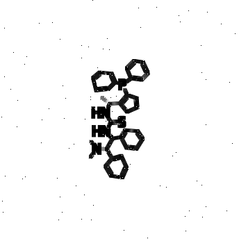 C[C@@H](NC(=S)N[C@@H](c1ccccc1)[C@H](c1ccccc1)N(C)C)C1=C(P(c2ccccc2)c2ccccc2)C=CC1